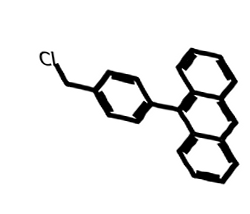 ClCc1ccc(-c2c3ccccc3cc3ccccc23)cc1